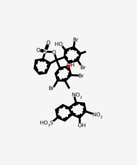 Cc1c(Br)cc(C2(c3cc(Br)c(C)c(Br)c3O)OS(=O)(=O)c3ccccc32)c(O)c1Br.O=[N+]([O-])c1cc([N+](=O)[O-])c2ccc(S(=O)(=O)O)cc2c1O